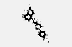 O=C1CCc2c(OCC3(O)CCN(c4ccc(C(F)(F)F)cc4)CC3)ccc(F)c2N1